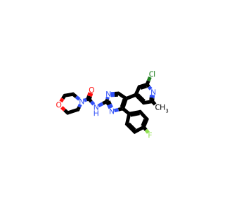 Cc1cc(-c2cnc(NC(=O)N3CCOCC3)nc2-c2ccc(F)cc2)cc(Cl)n1